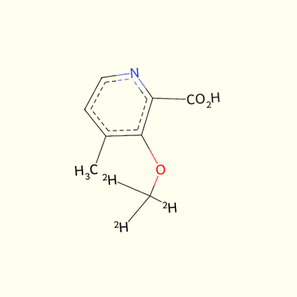 [2H]C([2H])([2H])Oc1c(C)ccnc1C(=O)O